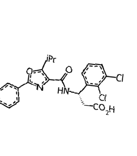 CC(C)c1oc(-c2ccccc2)nc1C(=O)N[C@@H](CC(=O)O)c1cccc(Cl)c1Cl